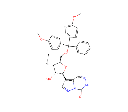 CC[C@H]1[C@@H](O)[C@H](c2cnn3c(=O)[nH]ncc23)O[C@@H]1COC(c1ccccc1)(c1ccc(OC)cc1)c1ccc(OC)cc1